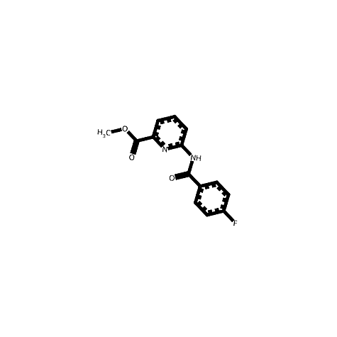 COC(=O)c1cccc(NC(=O)c2ccc(F)cc2)n1